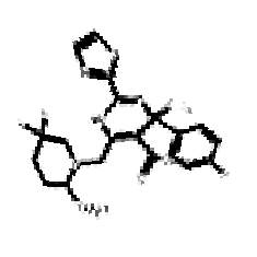 COC(=O)C1=C(CN2CC(F)(F)CCC2C(=O)O)NC(c2nccs2)=NC1(C)c1ccc(F)cc1